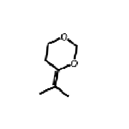 CC(C)=C1CCOCO1